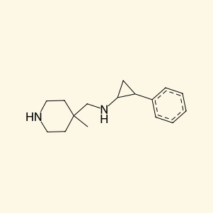 CC1(CNC2CC2c2ccccc2)CCNCC1